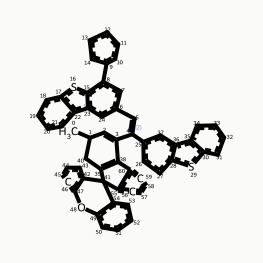 CC1C=C(/C(=C\c2cc(-c3ccccc3)c3sc4ccccc4c3c2)c2ccc3sc4ccccc4c3c2)C2=C(C1)C1(c3ccccc3Oc3ccccc31)c1ccccc12